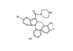 Cc1c(F)cccc1Cc1c(C(=O)N2CCNCC2)c2cc(Br)ccn2c1-c1ccccc1.Cl